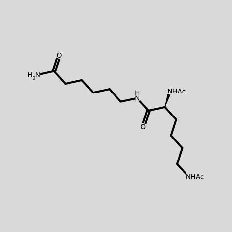 CC(=O)NCCCC[C@H](NC(C)=O)C(=O)NCCCCCC(N)=O